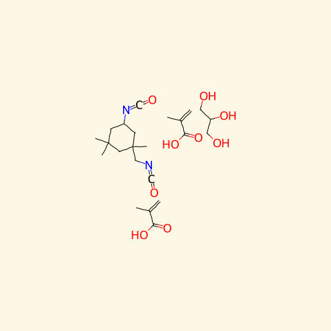 C=C(C)C(=O)O.C=C(C)C(=O)O.CC1(C)CC(N=C=O)CC(C)(CN=C=O)C1.OCC(O)CO